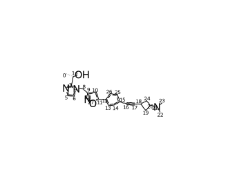 C[C@H](O)c1nccn1Cc1cc(-c2ccc(C#CC3CC(N(C)C)C3)cc2)on1